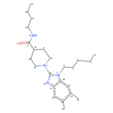 CCCCCn1c(N2CCC(C(=O)NCCCC)CC2)nc2cc(C)c(C)cc21